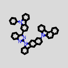 c1ccc(-n2c3ccccc3c3ccc(-c4nc(-n5c6ccccc6c6cc7ccc(-n8c9ccccc9c9c%10ccccc%10ccc98)cc7cc65)nc5ccccc45)cc32)cc1